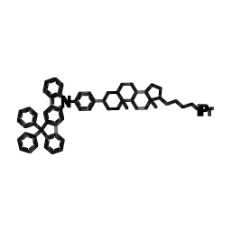 CC(C)CCCCC1CCC2C3CCC4CC(c5ccc(-n6c7ccccc7c7cc8c(cc76)-c6ccccc6C8(c6ccccc6)c6ccccc6)cc5)CCC4(C)C3CCC12C